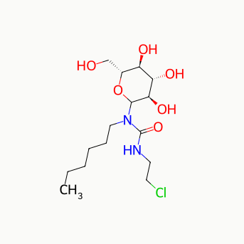 CCCCCCN(C(=O)NCCCl)C1O[C@H](CO)[C@@H](O)[C@H](O)[C@H]1O